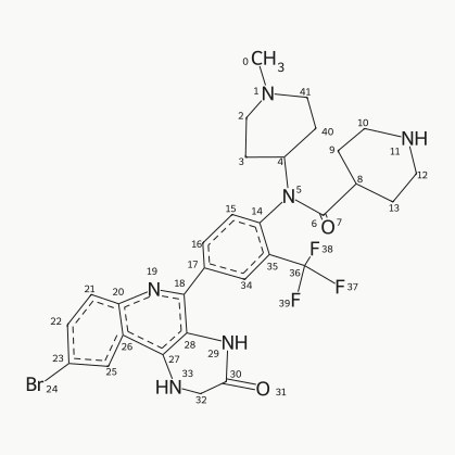 CN1CCC(N(C(=O)C2CCNCC2)c2ccc(-c3nc4ccc(Br)cc4c4c3NC(=O)CN4)cc2C(F)(F)F)CC1